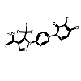 NC(=O)c1cnn(-c2ccc(-n3ccc(Cl)c(F)c3=O)cc2)c1C(F)(F)F